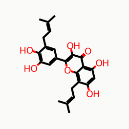 CC(C)=CCc1cc(-c2oc3c(CC=C(C)C)c(O)cc(O)c3c(=O)c2O)cc(O)c1O